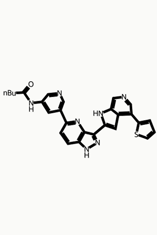 CCCCC(=O)Nc1cncc(-c2ccc3[nH]nc(-c4cc5c(-c6cccs6)cncc5[nH]4)c3n2)c1